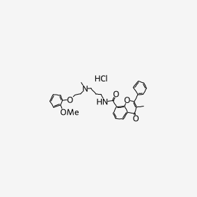 COc1ccccc1OCCN(C)CCCNC(=O)c1cccc2c(=O)c(C)c(-c3ccccc3)oc12.Cl